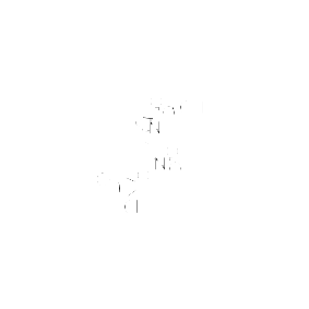 CCOC(=O)c1csc(SCCN2C(=O)OC[C@@H]2COc2cc(Cl)cc(Cl)c2)n1